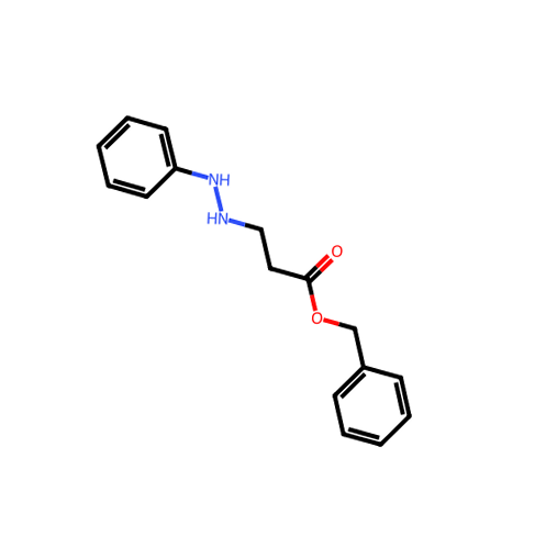 O=C(CCNNc1ccccc1)OCc1ccccc1